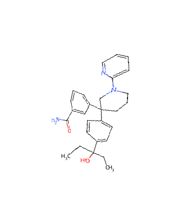 CCC(O)(CC)c1ccc(C2(c3cccc(C(N)=O)c3)CCCN(c3ccccn3)C2)cc1